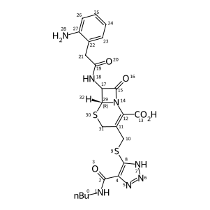 CCCCNC(=O)c1nn[nH]c1SCC1=C(C(=O)O)N2C(=O)C(NC(=O)Cc3ccccc3N)[C@H]2SC1